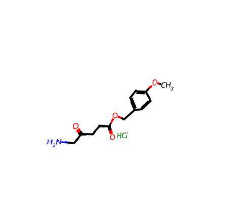 COc1ccc(COC(=O)CCC(=O)CN)cc1.Cl